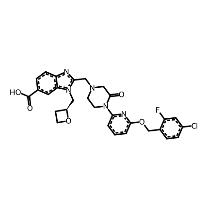 O=C(O)c1ccc2nc(CN3CCN(c4cccc(OCc5ccc(Cl)cc5F)n4)C(=O)C3)n(C[C@@H]3CCO3)c2c1